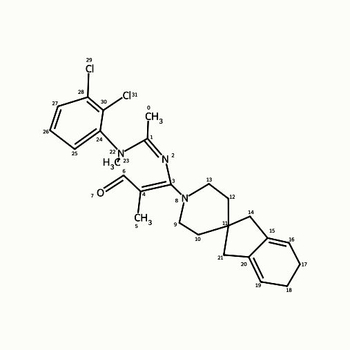 C/C(=N/C(=C(/C)C=O)N1CCC2(CC1)CC1=CCCC=C1C2)N(C)c1cccc(Cl)c1Cl